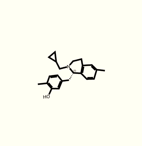 Cc1ccc2c(c1)CCN(CC1CC1)[C@H]2Cc1ccc(C)c(O)c1